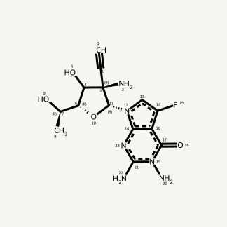 C#C[C@@]1(N)C(O)[C@@H]([C@@H](C)O)O[C@H]1n1cc(F)c2c(=O)n(N)c(N)nc21